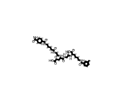 Cc1cccc(C(=O)NCCCCC(NC(=O)CNC(=O)C(CCC(=O)O)NC(=O)CNC(=O)CCCCNC(=O)C2CCC(C(N)=O)CC2)C(=O)O)c1